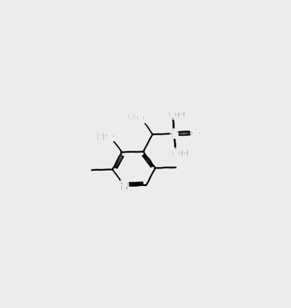 Cc1cnc(C)c(O)c1C(O)P(=O)(O)O